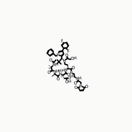 CC(=O)N[C@@H](C)C(=O)N[C@H](C)C(=O)N[C@@H](CC(=O)O)C(=O)N[C@@H](CCN(C(=O)CO)[C@@H](c1cc(-c2cc(F)ccc2F)cn1Cc1ccccc1)C(C)(C)C)C(=O)NCCNC(=O)CN1C(=O)C=CC1=O